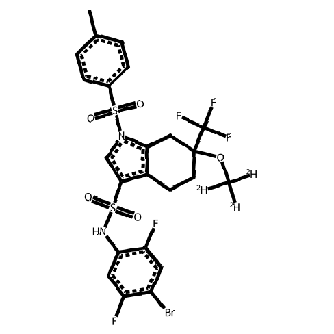 [2H]C([2H])([2H])OC1(C(F)(F)F)CCc2c(S(=O)(=O)Nc3cc(F)c(Br)cc3F)cn(S(=O)(=O)c3ccc(C)cc3)c2C1